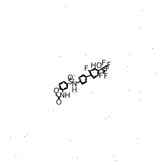 O=C1COc2ccc([S+]([O-])Nc3ccc(-c4ccc(C(O)(C(F)(F)F)C(F)(F)F)cc4F)cc3)cc2N1